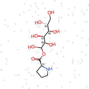 O=C(OC(O)[C@H](O)[C@@H](O)[C@H](O)[C@H](O)CO)[C@@H]1CCCN1